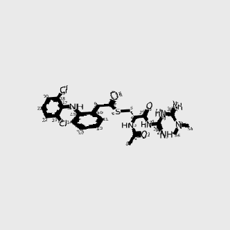 CC(=O)N[C@H](CSC(=O)Cc1ccccc1Nc1c(Cl)cccc1Cl)C(=O)NC(=N)NC(=N)N(C)C